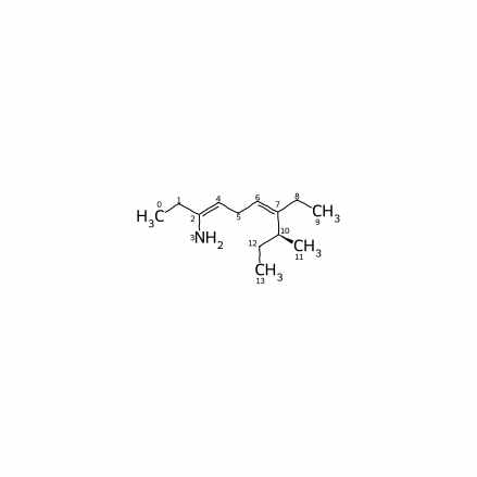 CC/C(N)=C/C/C=C(/CC)[C@@H](C)CC